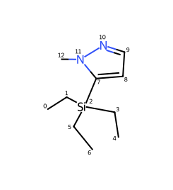 CC[Si](CC)(CC)c1ccnn1C